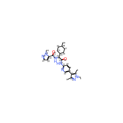 Cc1nn(C)c(C)c1-c1ccc(NC(=O)[C@@H](NC(=O)c2ccnn2C)C2CCC(C)CC2)nc1